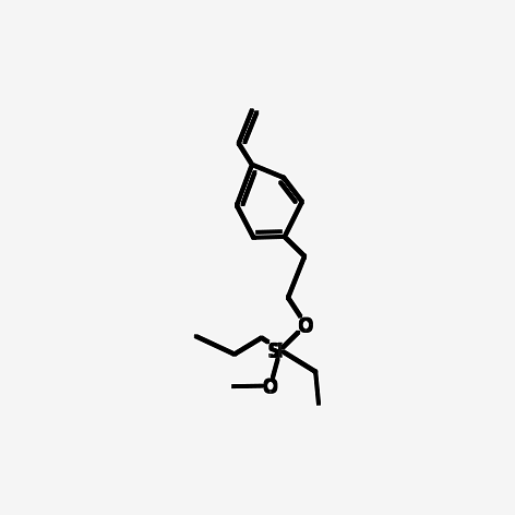 C=Cc1ccc(CCO[Si](CC)(CCC)OC)cc1